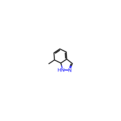 CC1C=CC=C2C=NNC21